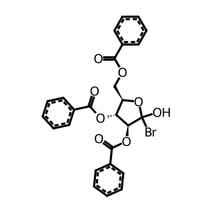 O=C(OC[C@H]1OC(O)(Br)[C@@H](OC(=O)c2ccccc2)[C@@H]1OC(=O)c1ccccc1)c1ccccc1